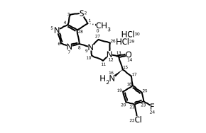 C[C@H]1SCc2ncnc(N3CCN(C(=O)[C@H](N)Cc4ccc(Cl)c(F)c4)CC3)c21.Cl.Cl